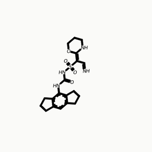 N=C/C(=C1\NCCCO1)S(=O)(=O)NC(=O)Nc1c2c(cc3c1CCC3)CCC2